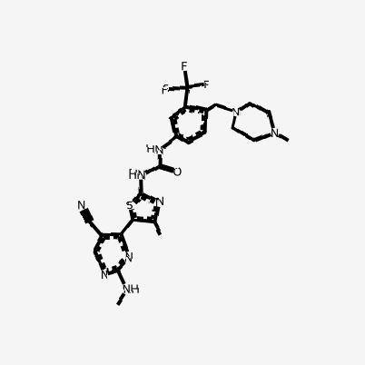 CNc1ncc(C#N)c(-c2sc(NC(=O)Nc3ccc(CN4CCN(C)CC4)c(C(F)(F)F)c3)nc2C)n1